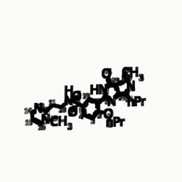 CCCOc1ccc(S(=O)(=O)NCCC2N=CC=CN2C)cc1-c1nc2c(CCC)nn(C)c2c(=O)[nH]1